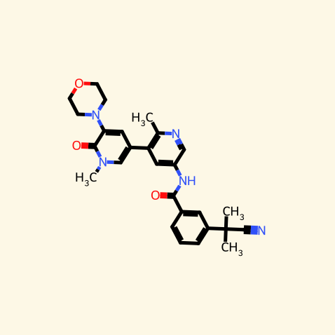 Cc1ncc(NC(=O)c2cccc(C(C)(C)C#N)c2)cc1-c1cc(N2CCOCC2)c(=O)n(C)c1